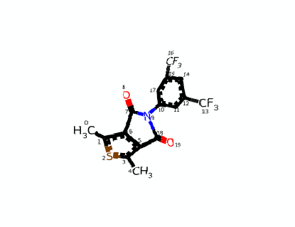 Cc1sc(C)c2c1C(=O)N(c1cc(C(F)(F)F)cc(C(F)(F)F)c1)C2=O